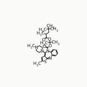 Cc1cc2c(s1)=Nc1ccccc1N(C(=O)OC(C)(C)OC(=O)C(C)CC(C)(C)C)C=2N1CCN(C)CC1